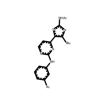 CCC(C)c1nc(NC(C)=O)sc1-c1ccnc(Nc2cccc(C(C)=O)c2)n1